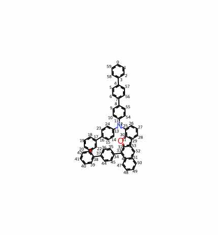 c1ccc(-c2ccc(-c3ccc(N(c4ccc(-c5ccccc5)cc4)c4cccc5c4oc4c(-c6ccc(-c7ccccc7)cc6)c6ccccc6cc45)cc3)cc2)cc1